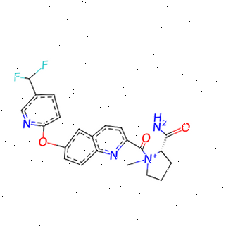 C[N+]1(C(=O)c2ccc3cc(Oc4ccc(C(F)F)cn4)ccc3n2)CCC[C@H]1C(N)=O